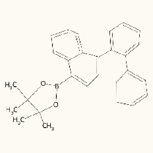 CC1(C)OB(c2ccc(-c3ccccc3-c3ccccc3)c3ccccc23)OC1(C)C